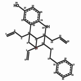 C=CCC1C2(CC=C)CCC(CCc3ccccc3)C1(CC=C)Nc1ccc(O)cc12